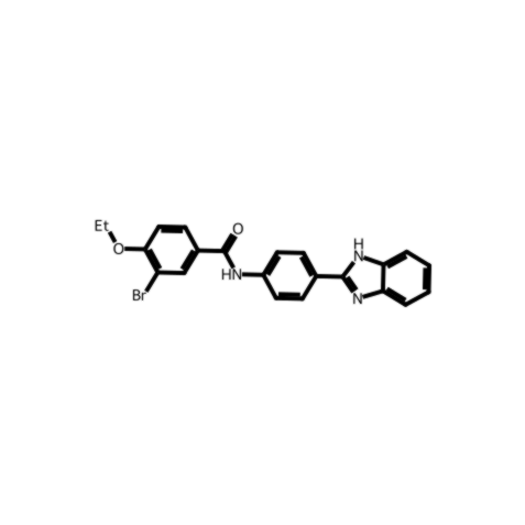 CCOc1ccc(C(=O)Nc2ccc(-c3nc4ccccc4[nH]3)cc2)cc1Br